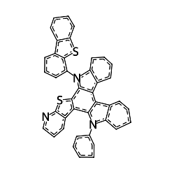 c1ccc(-n2c3ccccc3c3c4c5ccccc5n(-c5cccc6c5sc5ccccc56)c4c4sc5ncccc5c4c32)cc1